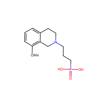 COc1cccc2c1CN(CCCP(=O)(O)O)CC2